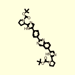 CC(C)(C)OC(=O)N1CCCC1c1ncc(-c2ccc(-c3ncc4cc(-c5cnc(C6CCCN6C(=O)OC(C)(C)C)[nH]5)ccc4n3)cc2)[nH]1